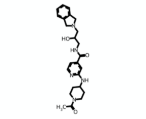 CC(=O)N1CCC(Nc2cc(C(=O)NCC(O)CN3Cc4ccccc4C3)ccn2)CC1